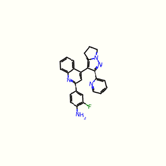 Nc1ccc(-c2cc(-c3c(-c4ccccn4)nn4c3CCC4)c3ccccc3n2)cc1F